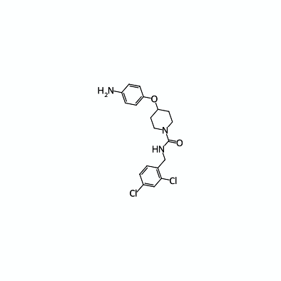 Nc1ccc(OC2CCN(C(=O)NCc3ccc(Cl)cc3Cl)CC2)cc1